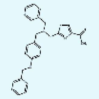 CC(=O)c1csc(CN(Cc2ccc(OCc3ccccc3)cc2)Cc2cccnc2)n1